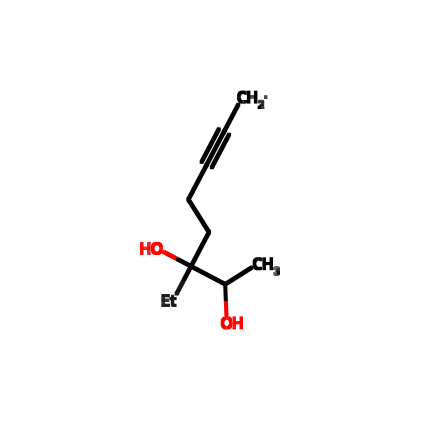 [CH2]C#CCCC(O)(CC)C(C)O